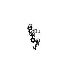 CN(C)CCN(C)C(=O)c1cccc(-c2cn(CC3CCOCC3)c(C(C)(C)C)n2)c1